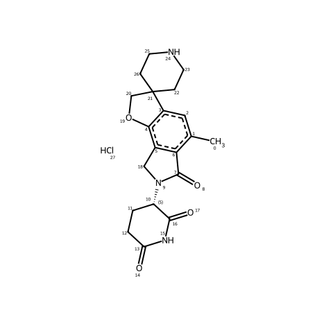 Cc1cc2c(c3c1C(=O)N([C@H]1CCC(=O)NC1=O)C3)OCC21CCNCC1.Cl